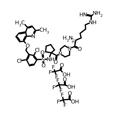 Cc1cc(C)c2cccc(OCc3c(Cl)ccc(S(=O)(=O)NC4(C(=O)N5CCN(C(=O)[C@H](N)CCCCNC(=N)N)CC5)CCCC4)c3Cl)c2n1.O=C(O)C(F)(F)F.O=C(O)C(F)(F)F.O=C(O)C(F)(F)F